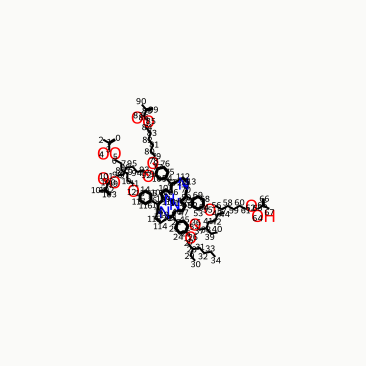 C=C(C)C(=O)OCCCCCCOc1ccc(-c2c3nc(c(-c4ccc(OCC(CC)CCCC)c(OCC(CC)CCCC)c4)c4ccc5c(-c6ccc(OCCCCCCOC(O)C(=C)C)cc6)c6nc(c(-c7ccc(OCCCCCCOC(=O)C(=C)C)c(OCCCCCCOC(=O)C(=C)C)c7)c7ccc2n7n54)C=C6)C=C3)cc1